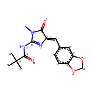 CN1C(=O)/C(=C/c2ccc3c(c2)OCO3)N=C1NC(=O)C(C)(C)C